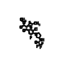 CCOC(=O)c1c2n(c3c(Cl)c(N4CCC(NC(=O)C(F)(F)F)C4)c(F)cc3c1=O)C(C)S2